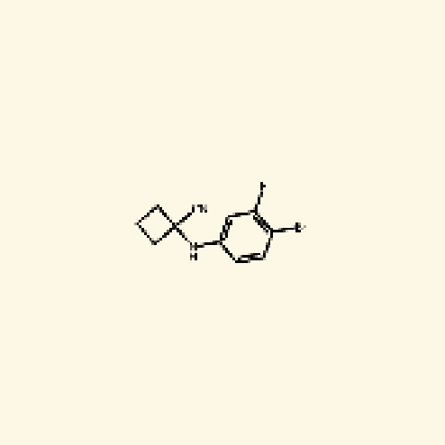 N#CC1(Nc2ccc(Br)c(F)c2)CCC1